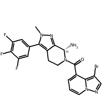 Cn1nc2c(c1-c1cc(F)c(F)c(F)c1)CCN(C(=O)c1cccn3ncc(Br)c13)[C@H]2N